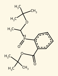 CC(OC(C)(C)C)[PH](=O)c1ccccc1C(=O)OC(C)(C)C